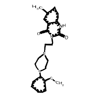 COc1ccccc1N1CCN(CCn2c(=O)[nH]c3ccc(C)cc3c2=O)CC1